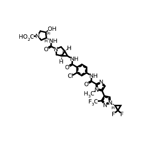 Cn1c(-c2cn([C@@H]3CC3(F)F)nc2C(F)(F)F)cnc1C(=O)Nc1ccc(C(=O)NC2[C@H]3CN(C(=O)N[C@@H]4CN(C(=O)O)C[C@H]4O)C[C@@H]23)c(Cl)c1